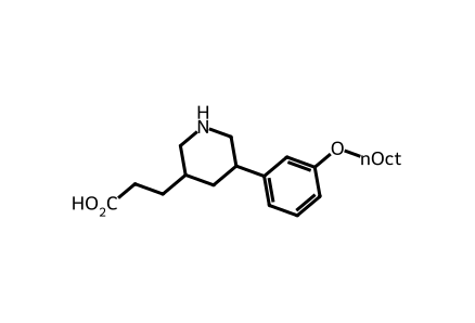 CCCCCCCCOc1cccc(C2CNCC(CCC(=O)O)C2)c1